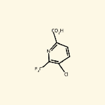 O=C(O)c1ccc(Cl)c(C(F)(F)F)n1